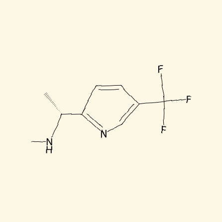 CN[C@H](C)c1ccc(C(F)(F)F)cn1